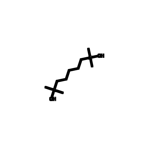 C[Si](C)(O)CCCCC[Si](C)(C)O